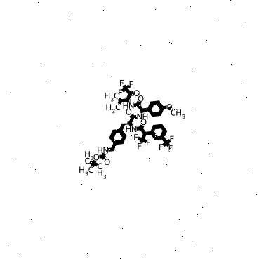 COc1ccc([C@H](NC(=O)[C@H](Cc2ccc(CNC(=O)OC(C)(C)C)cc2)NC(=O)C(c2cccc(C(F)(F)F)c2)C(F)(F)F)C(=O)N[C@H](C(=O)C(F)(F)F)C(C)C)cc1